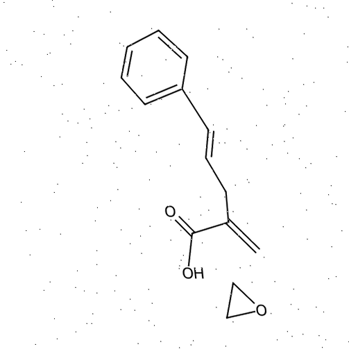 C1CO1.C=C(CC=Cc1ccccc1)C(=O)O